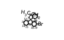 C=C(C)CC1(c2ccccc2)c2ccccc2-c2ccc(Br)cc21